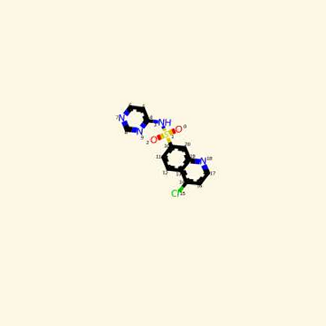 O=S(=O)(Nc1ccncn1)c1ccc2c(Cl)ccnc2c1